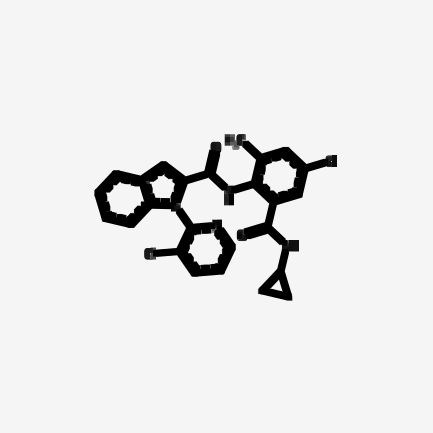 Cc1cc(Cl)cc(C(=O)NC2CC2)c1NC(=O)c1cc2ccccc2n1-c1ncccc1Cl